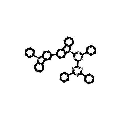 c1ccc(-c2nc(-c3ccccc3)nc(-c3nc(-c4ccccc4)nc(-n4c5ccccc5c5cc(-c6ccc7c(c6)c6ccccc6n7-c6ccccc6)ccc54)n3)n2)cc1